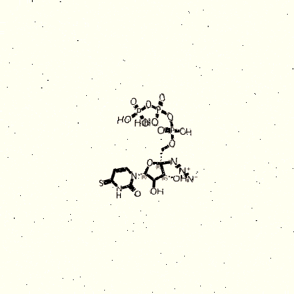 [N-]=[N+]=N[C@]1(COP(=O)(O)OP(=O)(O)OP(=O)(O)O)O[C@@H](n2ccc(=S)[nH]c2=O)C(O)[C@H]1O